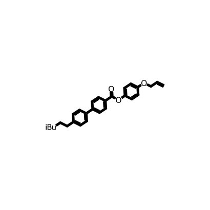 C=CCOc1ccc(OC(=O)c2ccc(-c3ccc(CCC(C)CC)cc3)cc2)cc1